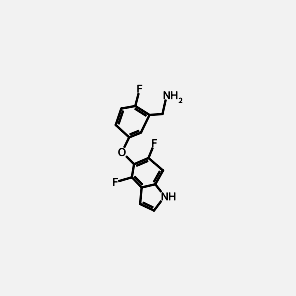 NCc1cc(Oc2c(F)cc3[nH]ccc3c2F)ccc1F